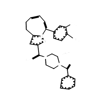 C=C(c1cc2n(n1)/C(c1ccc(C)c(C)c1)=C\C=C/CC2)N1CCN(C(=O)c2ccccc2)[C@@H](C)C1